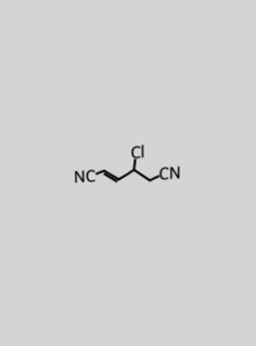 N#CC=CC(Cl)CC#N